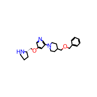 c1ccc(COCC2CCN(c3cncc(OC[C@@H]4CCCN4)c3)CC2)cc1